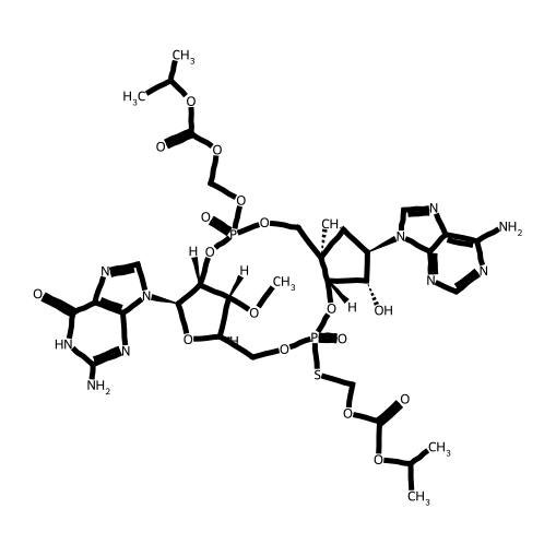 CO[C@H]1[C@H]2OP(=O)(OCOC(=O)OC(C)C)OC[C@@]3(C)C[C@@H](n4cnc5c(N)ncnc54)[C@H](O)[C@@H]3OP(=O)(SCOC(=O)OC(C)C)OC[C@H]1O[C@H]2n1cnc2c(=O)[nH]c(N)nc21